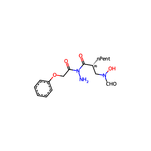 CCCCC[C@H](CN(O)C=O)C(=O)N(N)C(=O)COc1ccccc1